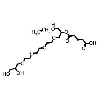 C=C.O=C(O)CCCC(=O)OC(CO)COCCOCCOCCOCC(O)CO